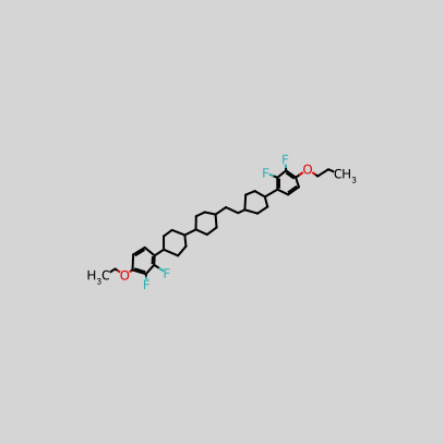 CCCOc1ccc(C2CCC(CCC3CCC(C4CCC(c5ccc(OCC)c(F)c5F)CC4)CC3)CC2)c(F)c1F